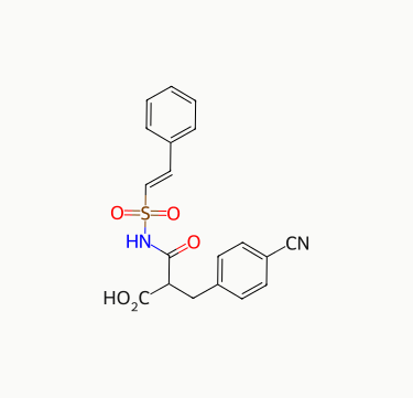 N#Cc1ccc(CC(C(=O)O)C(=O)NS(=O)(=O)C=Cc2ccccc2)cc1